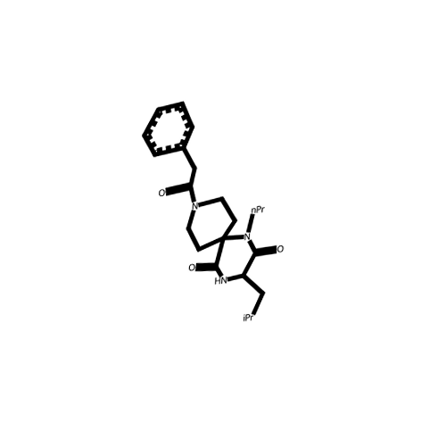 CCCN1C(=O)C(CC(C)C)NC(=O)C12CCN(C(=O)Cc1ccccc1)CC2